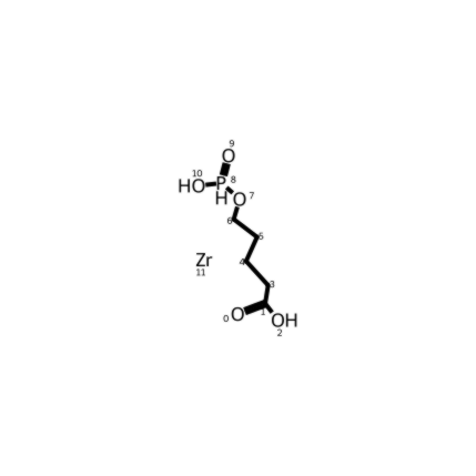 O=C(O)CCCCO[PH](=O)O.[Zr]